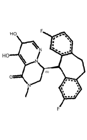 CN1C[C@H](C2c3cc(F)ccc3CCc3ccc(F)cc32)N2N=CC(O)C(O)=C2C1=O